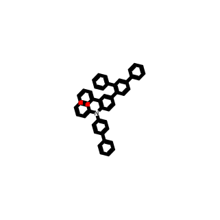 c1ccc(-c2ccc(N(c3ccccc3)c3ccc(-c4ccc(-c5ccccc5)cc4-c4ccccc4)cc3-c3ccccc3)cc2)cc1